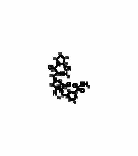 C[C@@H](c1cccc(S(N)(=O)=O)c1)N1C(=O)C2C[C@H]1CN2CC(N)C(=O)N1CCCC1C#N